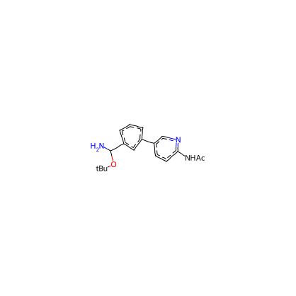 CC(=O)Nc1ccc(-c2cccc(C(N)OC(C)(C)C)c2)cn1